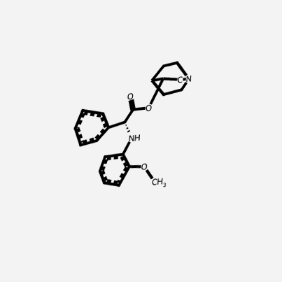 COc1ccccc1N[C@@H](C(=O)OC1CN2CCC1CC2)c1ccccc1